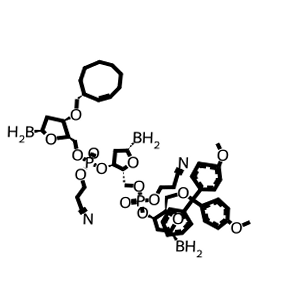 B[C@H]1C[C@@H](OC[C@H]2/C=C\CCCCCC2)[C@@H](COP(=O)(OCCC#N)O[C@@H]2C[C@H](B)O[C@@H]2COP(=O)(OCCC#N)O[C@@H]2C[C@H](B)O[C@@H]2COC(c2ccccc2)(c2ccc(OC)cc2)c2ccc(OC)cc2)O1